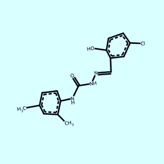 Cc1ccc(NC(=O)NN=Cc2cc(Cl)ccc2O)c(C)c1